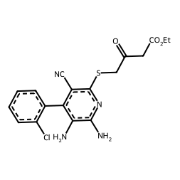 CCOC(=O)CC(=O)CSc1nc(N)c(N)c(-c2ccccc2Cl)c1C#N